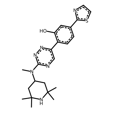 CN(c1ncc(-c2ccc(-c3nccs3)cc2O)nn1)C1CC(C)(C)NC(C)(C)C1